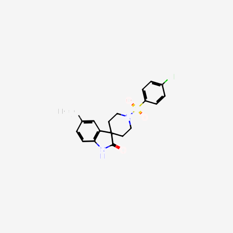 O=C(O)c1ccc2c(c1)C1(CCN(S(=O)(=O)c3ccc(Cl)cc3)CC1)C(=O)N2